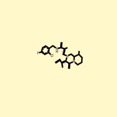 C=C/C(C)=C1/C(=C)N2CCCC(C)C2CN1/C=C(\C)C(=C)NCc1ccc(F)cc1Cl